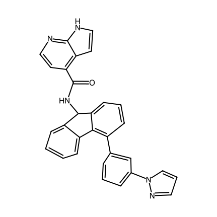 O=C(NC1c2ccccc2-c2c(-c3cccc(-n4cccn4)c3)cccc21)c1ccnc2[nH]ccc12